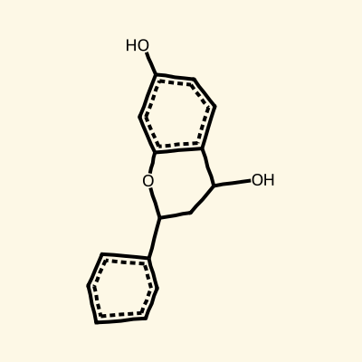 Oc1ccc2c(c1)OC(c1ccccc1)CC2O